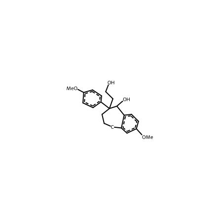 COc1ccc(C2(CCO)CCCc3cc(OC)ccc3C2O)cc1